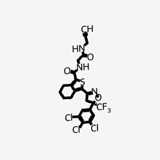 C#CCNC(=O)CNC(=O)c1sc(C2=NO[C@@](c3cc(Cl)c(Cl)c(Cl)c3)(C(F)(F)F)C2)c2c1CCCC2